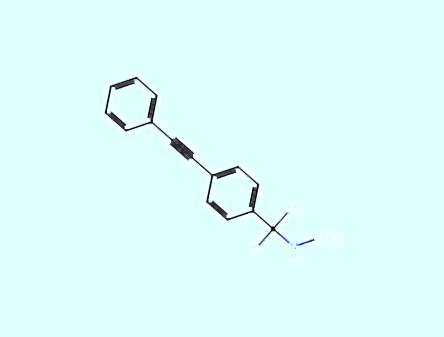 CCC(CC)(NC=O)c1ccc(C#Cc2ccccc2)cc1